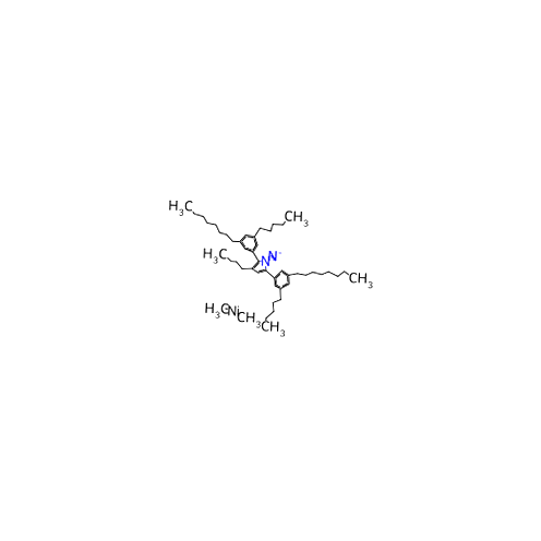 CCCCCCCCc1cc(CCCCC)cc(C2=CC(CCCC)=C(c3cc(CCCCC)cc(CCCCCCCC)c3)[N+]2=[N-])c1.[CH3][Ni][CH3]